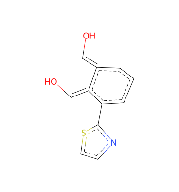 OC=c1cccc(-c2nccs2)c1=CO